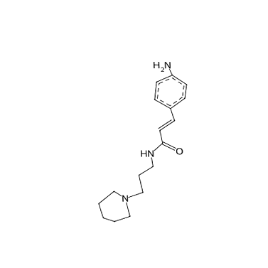 Nc1ccc(/C=C/C(=O)NCCCN2CCCCC2)cc1